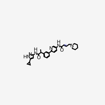 CC(C(=O)Nc1cc(C2CC2)[nH]n1)c1cccc(-c2ccc(NC(=O)/C=C/CN3CCCCC3)cn2)c1